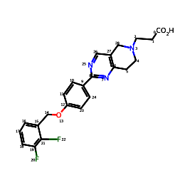 O=C(O)CCN1CCc2nc(-c3ccc(OCc4cccc(F)c4F)cc3)ncc2C1